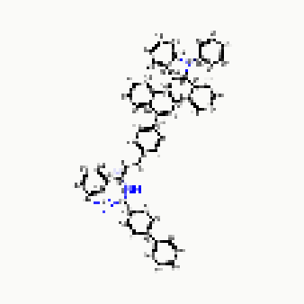 NC(N/C(=C\Cc1ccc(-c2cc3c4ccccc4c4c(c5ccccc5n4-c4ccccc4)c3c3ccccc23)cc1)c1ccccc1)c1ccc(-c2ccccc2)cc1